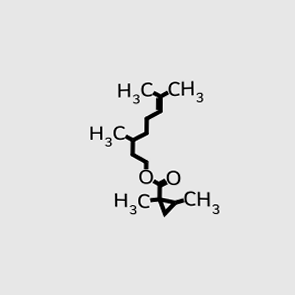 CC(C)=CCCC(C)CCOC(=O)C1(C)CC1C